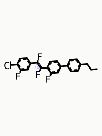 CCCc1ccc(-c2ccc(/C(F)=C(\F)c3ccc(Cl)c(F)c3)c(F)c2)cc1